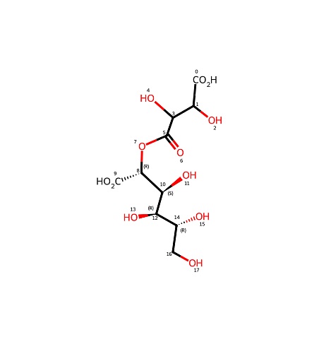 O=C(O)C(O)C(O)C(=O)O[C@@H](C(=O)O)[C@@H](O)[C@H](O)[C@H](O)CO